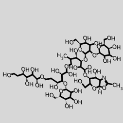 CC1=NC2[C@@H](O1)OC(CO)[C@@H](O[C@H](O)C(O)[C@@H](O[C@H]1O[C@@H](CO)[C@@H](O)C(O)C1O[C@H]1O[C@@H](CO)[C@@H](O)C(O)C1O)[C@H](O)C(C)CO[C@@H](O)[C@H](O)C(O[C@H]1O[C@@H](CO)[C@@H](O)C(O)C1O)[C@H](O)CCO[C@@H](O)C(O)[C@@H](O)[C@H](O)CCO)[C@@H]2O